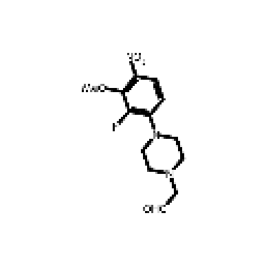 COc1c([N+](=O)[O-])ccc(N2CCN(CC=O)CC2)c1F